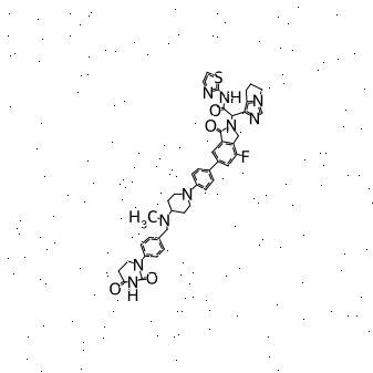 CN(Cc1ccc(N2CCC(=O)NC2=O)cc1)C1CCN(c2ccc(-c3cc(F)c4c(c3)C(=O)N(C(C(=O)Nc3nccs3)c3ncn5c3CCC5)C4)cc2)CC1